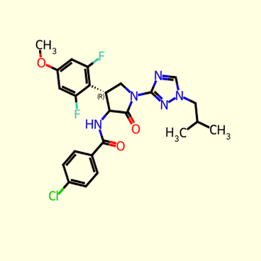 COc1cc(F)c([C@@H]2CN(c3ncn(CC(C)C)n3)C(=O)C2NC(=O)c2ccc(Cl)cc2)c(F)c1